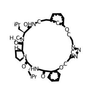 CC(C)C[C@H]1NC(=O)c2ccccc2OCc2cn(nn2)CCOc2cccc(c2)CCNC(=O)[C@H](CC(C)C)N(C)C(=O)[C@H]2CCCN2C1=O